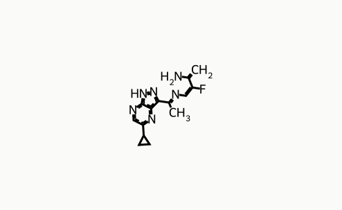 C=C(N)/C(F)=C\N=C(/C)c1n[nH]c2ncc(C3CC3)nc12